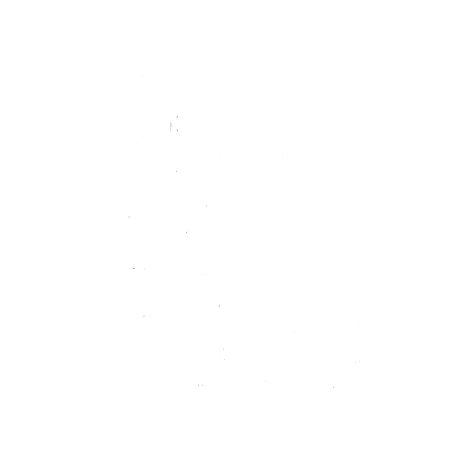 CC(=O)O/N=C(/CCC1CCCCC1)c1ccc(Sc2ccc(C(=O)c3cc4ccccc4o3)cc2)cc1